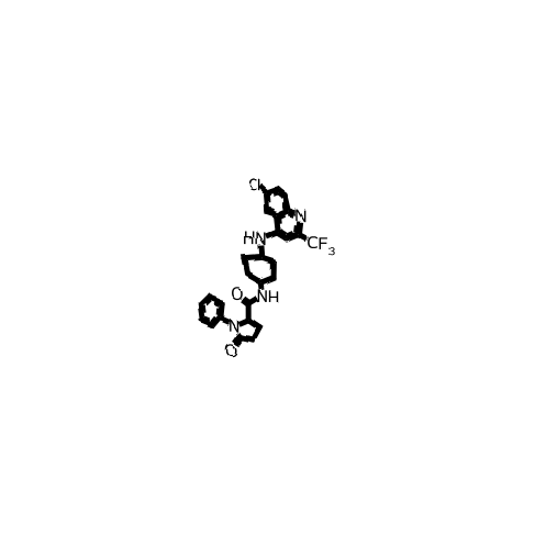 O=C(NC1CCC(Nc2cc(C(F)(F)F)nc3ccc(Cl)cc23)CC1)C1CCC(=O)N1c1ccccc1